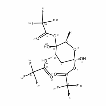 C[C@H]1O[C@@](O)(OC(=O)C(F)(F)F)C[C@H](NC(=O)C(F)(F)F)[C@]1(O)OC(=O)C(F)(F)F